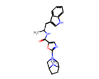 CC(Cc1c[nH]c2ccccc12)NC(=O)c1cnc(N2CC3CCC(C2)N3C)o1